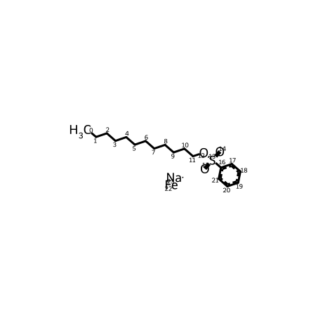 CCCCCCCCCCCCOS(=O)(=O)c1ccccc1.[Fe].[Na]